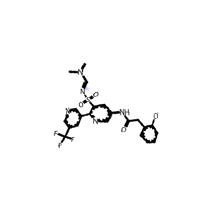 CN(C)/C=N/S(=O)(=O)c1cc(NC(=O)Cc2ccccc2Cl)cnc1-c1cncc(C(F)(F)F)c1